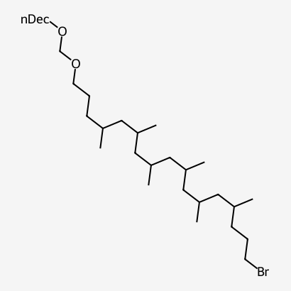 CCCCCCCCCCOCOCCCC(C)CC(C)CC(C)CC(C)CC(C)CC(C)CCCBr